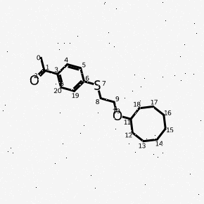 CC(=O)c1ccc(SCCOC2CCCCCCC2)cc1